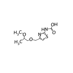 COC(C)COCc1csc(NC(=O)O)n1